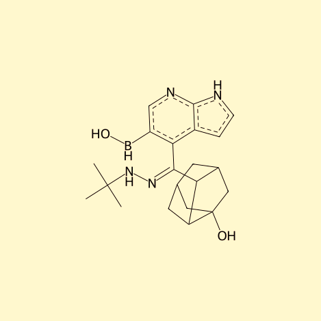 CC(C)(C)N/N=C(\c1c(BO)cnc2[nH]ccc12)C1C2CC3CC1C(O)(C3)C2